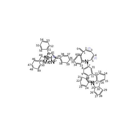 C=C1/C=C\C=C/N(c2cccc(-c3cccc4c3N(c3ccccc3)C3C=CC=CC43)c2)c2ccc(C3C=CC(/C(=C/C(NCc4ccccc4)c4ccccc4)NC)=CC3)cc21